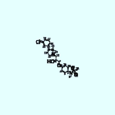 CN(c1ccc(OCC(O)CN2CCC(c3cccc(Cl)c3)C2(C)C)cc1)S(C)(=O)=O